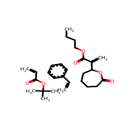 C=C(C(=O)OCCCC)C1CCCCC(=O)O1.C=CC(=O)OC(C)(C)C.C=Cc1ccccc1